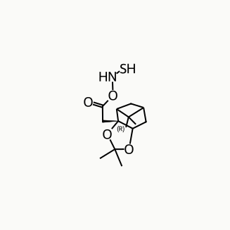 CC1(C)OC2CC3CC(C3(C)C)[C@@]2(CC(=O)ONS)O1